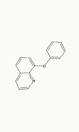 c1ccc(Oc2cccc3cccnc23)cc1